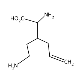 C=CCC(CCN)C(N)C(=O)O